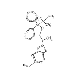 CC(CO[Si](c1ccccc1)(c1ccccc1)C(C)(C)C)c1cc2nc(C=O)cnc2o1